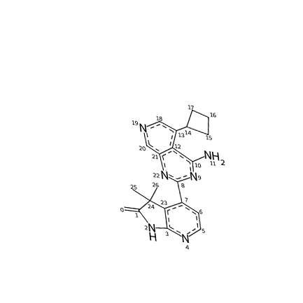 C=C1Nc2nccc(-c3nc(N)c4c(C5CCC5)cncc4n3)c2C1(C)C